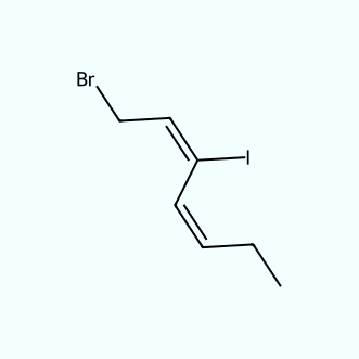 CC/C=C\C(I)=C/CBr